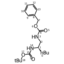 CCCC[C@H](CNC(=O)OCc1ccccc1)NC(=O)OC(C)(C)C